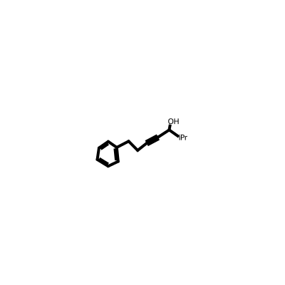 CC(C)C(O)C#CCCc1ccccc1